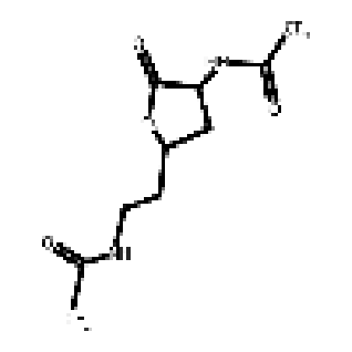 O=C1OC(CCNC(=O)C(F)(F)F)CC1NC(=O)C(F)(F)F